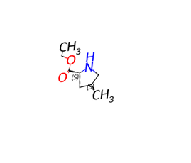 CCOC(=O)[C@@H]1C[C@H](C)CN1